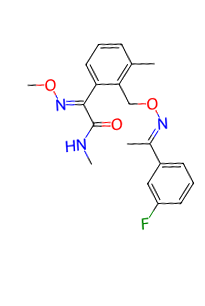 CNC(=O)/C(=N/OC)c1cccc(C)c1CO/N=C(\C)c1cccc(F)c1